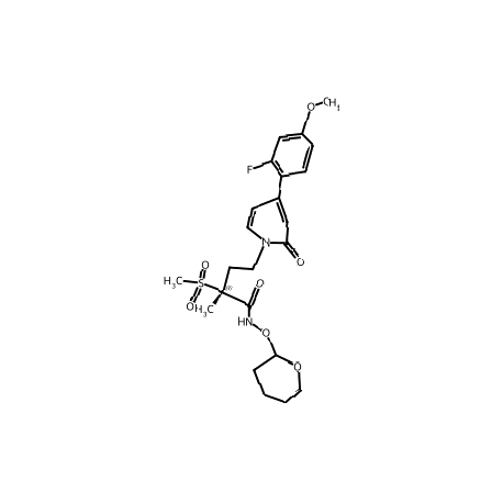 COc1ccc(-c2ccn(CC[C@](C)(C(=O)NOC3CCCCO3)S(C)(=O)=O)c(=O)c2)c(F)c1